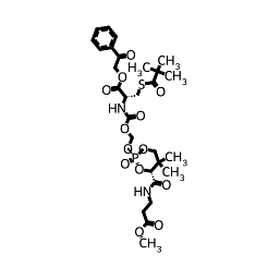 COC(=O)CCNC(=O)[C@@H]1O[P@@](=O)(OCOC(=O)N[C@@H](CSC(=O)C(C)(C)C)C(=O)OCC(=O)c2ccccc2)OCC1(C)C